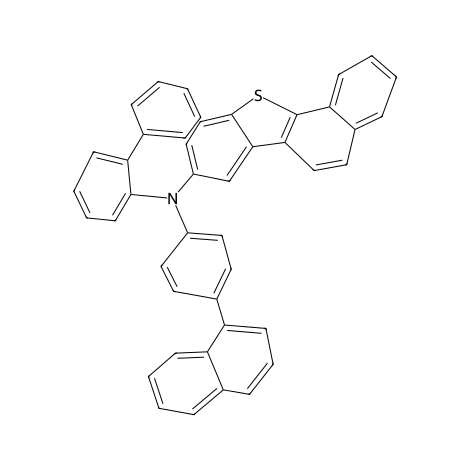 c1ccc(-c2ccccc2N(c2ccc(-c3cccc4ccccc34)cc2)c2ccc3sc4c5ccccc5ccc4c3c2)cc1